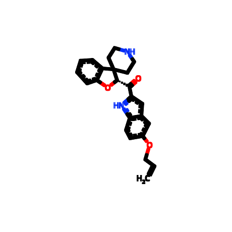 C=CCOc1ccc2[nH]c(C(=O)[C@@H]3Oc4ccccc4C34CCNCC4)cc2c1